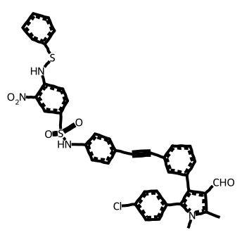 Cc1c(C=O)c(-c2cccc(C#Cc3ccc(NS(=O)(=O)c4ccc(NSc5ccccc5)c([N+](=O)[O-])c4)cc3)c2)c(-c2ccc(Cl)cc2)n1C